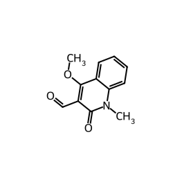 COc1c(C=O)c(=O)n(C)c2ccccc12